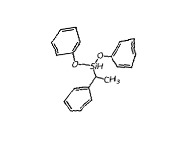 CC(c1ccccc1)[SiH](Oc1ccccc1)Oc1ccccc1